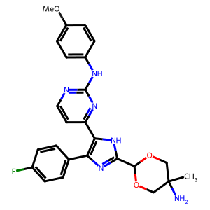 COc1ccc(Nc2nccc(-c3[nH]c(C4OCC(C)(N)CO4)nc3-c3ccc(F)cc3)n2)cc1